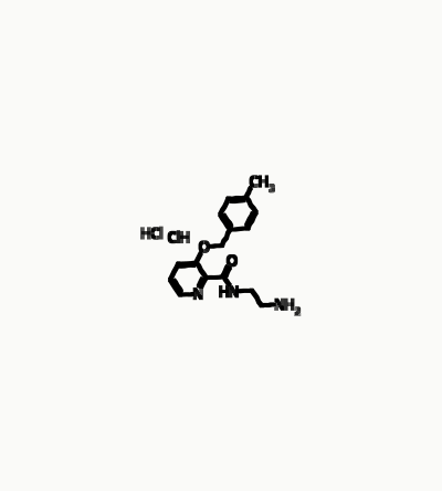 Cc1ccc(COc2cccnc2C(=O)NCCN)cc1.Cl.Cl